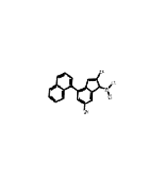 CCC1=Cc2c(-c3cccc4ccccc34)cc(C(C)C)cc2[CH]1[Zr]([Cl])[Cl]